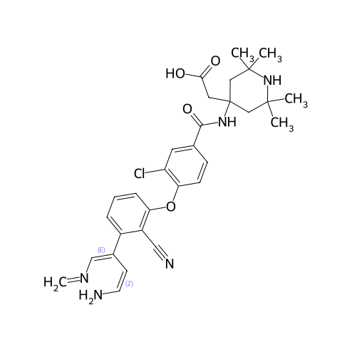 C=N/C=C(\C=C/N)c1cccc(Oc2ccc(C(=O)NC3(CC(=O)O)CC(C)(C)NC(C)(C)C3)cc2Cl)c1C#N